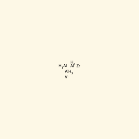 [AlH3].[AlH3].[AlH3].[V].[Zr]